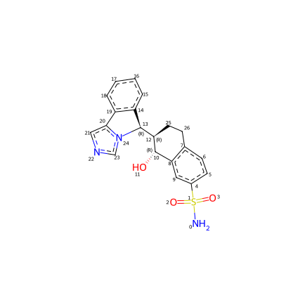 NS(=O)(=O)c1ccc2c(c1)[C@H](O)[C@@H]([C@@H]1c3ccccc3-c3cncn31)CC2